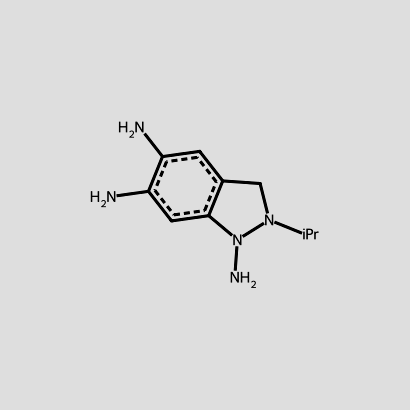 CC(C)N1Cc2cc(N)c(N)cc2N1N